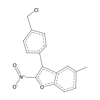 Cc1ccc2oc([N+](=O)[O-])c(-c3ccc(CCl)cc3)c2c1